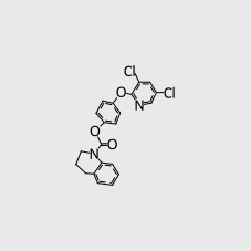 O=C(Oc1ccc(Oc2ncc(Cl)cc2Cl)cc1)N1CCCc2ccccc21